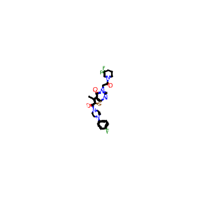 Cc1c(C(=O)N2CCN(c3ccc(F)cc3)CC2)sc2ncn(CC(=O)N3CCCC(F)(F)C3)c(=O)c12